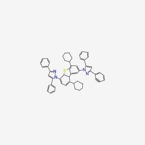 c1cccc(-c2cc(-c3ccccc3)n(-c3cc(C4CCCCC4)c4c(c3)C3C(C5CCCCC5)=CC=C(n5nc(-c6ccccc6)cc5-c5ccccc5)C3S4)n2)c#1